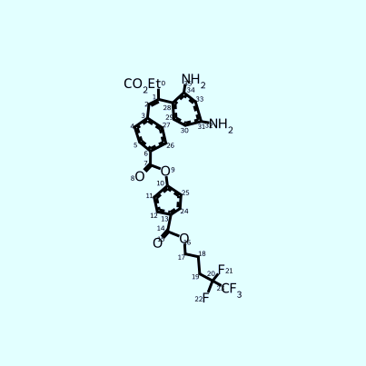 CCOC(=O)C(=Cc1ccc(C(=O)Oc2ccc(C(=O)OCCCC(F)(F)C(F)(F)F)cc2)cc1)c1ccc(N)cc1N